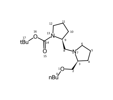 CCCCOC[C@@H]1CCCN1C[C@@H]1CCCN1C(=O)OC(C)(C)C